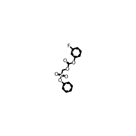 O=C(OCS(=O)(=O)Oc1ccccc1)Oc1cccc(F)c1